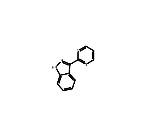 c1cnc(-c2n[nH]c3ccccc23)nc1